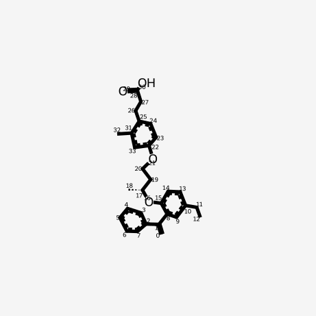 C=C(c1ccccc1)c1cc(CC)ccc1O[C@H](C)CCOc1ccc(CCC(=O)O)c(C)c1